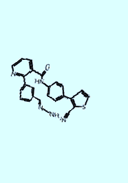 N#Cc1sccc1-c1ccc(NC(=O)c2cccnc2-c2cccc(C=NN)c2)cc1